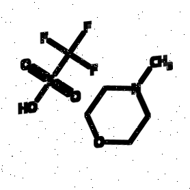 CN1CCOCC1.O=S(=O)(O)C(F)(F)F